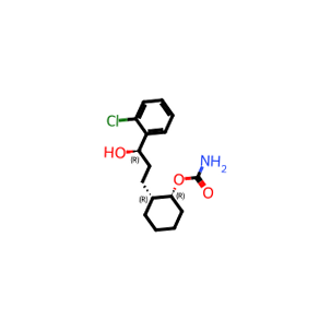 NC(=O)O[C@@H]1CCCC[C@@H]1CC[C@@H](O)c1ccccc1Cl